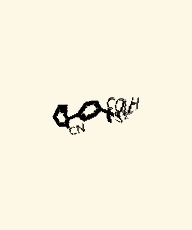 CC(=O)SC(C)(C(=O)O)c1ccc(-c2ccccc2C#N)cc1